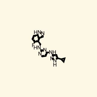 Fc1ccc2[nH]ncc2c1CNc1nccc(Nc2cc(C3CC3)[nH]n2)n1